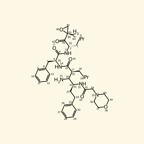 CC(C)C[C@H](NC(=O)[C@H](Cc1ccccc1)NC(=O)[C@@H](CC(C)C)C(N)[C@H](CCc1ccccc1)NC(=O)CN1CCOCC1)C(=O)[C@@]1(C)CO1